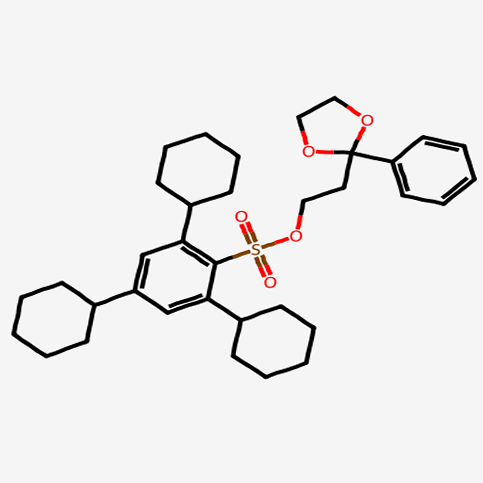 O=S(=O)(OCCC1(c2ccccc2)OCCO1)c1c(C2CCCCC2)cc(C2CCCCC2)cc1C1CCCCC1